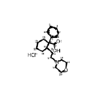 Cl.O=C(O)C1(c2ccccc2)CCCCC1CCN1CCOCC1